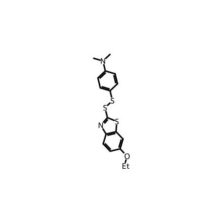 CCOc1ccc2nc(SSc3ccc(N(C)C)cc3)sc2c1